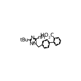 CCCc1nc(C(C)(C)C)nn1Cc1ccc(-c2ccccc2C(=O)O)cc1